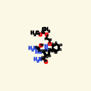 COC(C)OCCOc1ccccc1-c1cc(C(N)=O)c(NC(N)=O)[nH]1